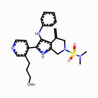 C=C1CN(S(=O)(=O)N(C)C)Cc2[nH]c(-c3ccncc3CCCOC)c(Nc3ccccc3)c21